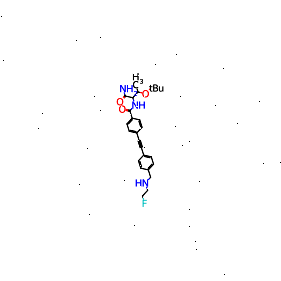 CC(OC(C)(C)C)C(NC(=O)c1ccc(C#Cc2ccc(CNCCF)cc2)cc1)C(N)=O